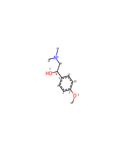 COc1ccc(C(O)CN(C)C)cc1